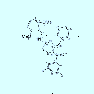 COc1cccc(OC)c1CN[C@H]1CCN(C(=O)c2cc(C)cc(C)c2)[C@H](Cc2ccccc2)C1